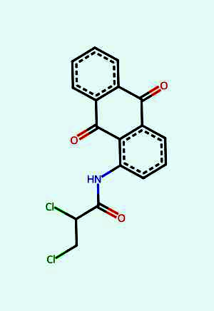 O=C1c2ccccc2C(=O)c2c(NC(=O)C(Cl)CCl)cccc21